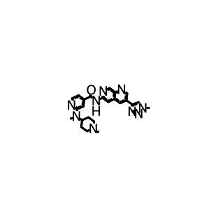 CN1CCC(N(C)c2cc(C(=O)Nc3cc4cc(-c5cn(C)nn5)cnc4cn3)ccn2)CC1